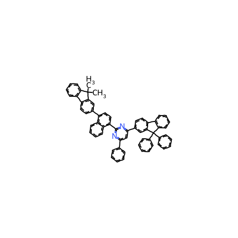 CC1(C)c2ccccc2-c2ccc(-c3ccc(-c4nc(-c5ccccc5)cc(-c5ccc6c(c5)C(c5ccccc5)(c5ccccc5)c5ccccc5-6)n4)c4ccccc34)cc21